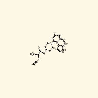 CN(CC#N)C(=O)OC1CCN(c2cnnc3cnc4[nH]ccc4c23)CC1